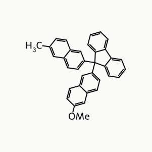 COc1ccc2cc(C3(c4ccc5cc(C)ccc5c4)c4ccccc4-c4ccccc43)ccc2c1